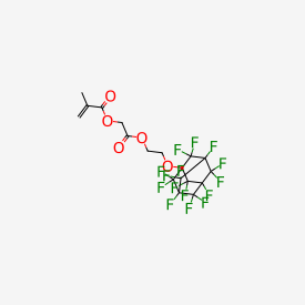 C=C(C)C(=O)OCC(=O)OCCOC12C(F)(F)C3(F)C(F)(F)C(F)(C(F)(F)C(F)(C3(F)F)C1(F)F)C2(F)F